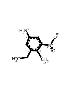 CCc1cc(N)cc([N+](=O)[O-])c1C